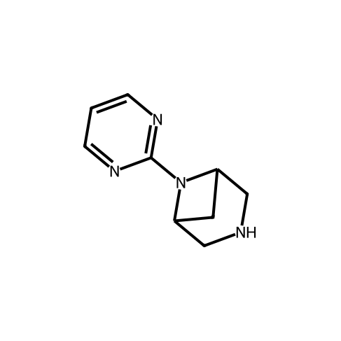 c1cnc(N2C3CNCC2C3)nc1